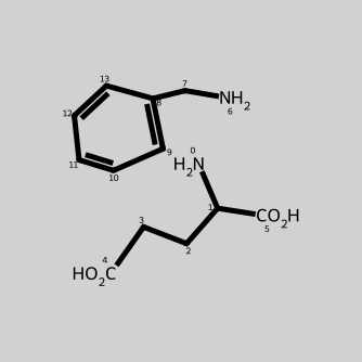 NC(CCC(=O)O)C(=O)O.NCc1ccccc1